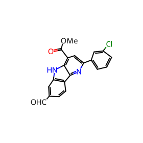 COC(=O)c1cc(-c2cccc(Cl)c2)nc2c1[nH]c1cc(C=O)ccc12